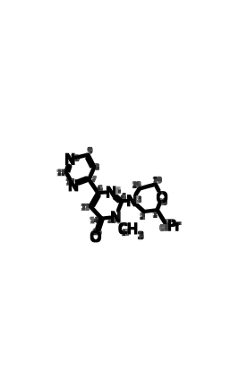 CC(C)C1CN(c2nc(-c3ccncn3)cc(=O)n2C)CCO1